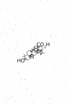 C=C(C)[C@@H]1CC[C@]2(C(=O)O)CC[C@]3(C)[C@H](CC[C@@H]4[C@@]5(C)CC[C@H](O)C(C)(C)C5CC[C@]43C)[C@@H]12